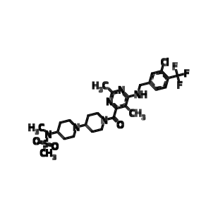 Cc1nc(NCc2ccc(C(F)(F)F)c(Cl)c2)c(C)c(C(=O)N2CCC(N3CCC(N(C)S(C)(=O)=O)CC3)CC2)n1